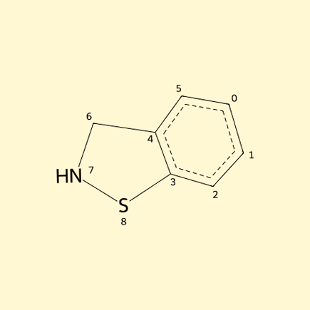 c1ccc2c(c1)CNS2